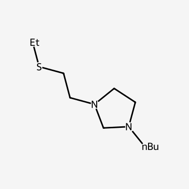 CCCCN1CCN(CCSCC)C1